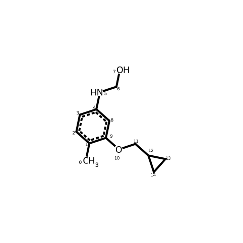 Cc1ccc(NCO)cc1OCC1CC1